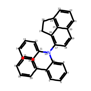 c1ccc(-c2ccccc2N(c2ccccc2)c2ccc3cccc4c3c2CC4)cc1